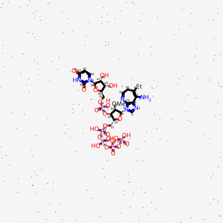 CCC1=C(N)c2ncn([C@@H]3O[C@H](COP(=O)(O)OP(=O)(O)OP(=O)(O)OP(=O)(O)O)[C@@H](OP(=O)(O)OC[C@H]4O[C@@H](n5ccc(=O)[nH]c5=O)[C@H](O)[C@@H]4O)[C@H]3OC)c2N=CC1